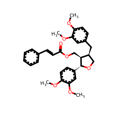 COc1ccc(C[C@H]2CO[C@H](c3ccc(OC)c(OC)c3)[C@H]2COC(=O)C=Cc2ccccc2)cc1OC